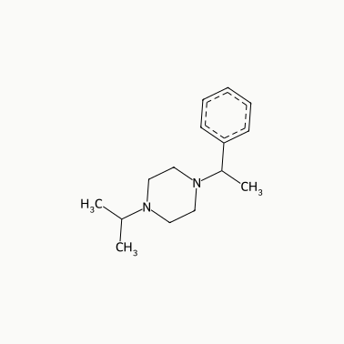 CC(C)N1CCN(C(C)c2ccccc2)CC1